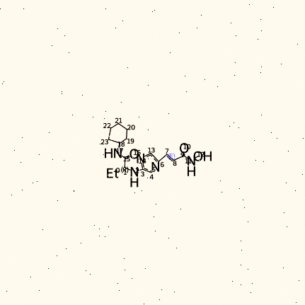 CC[C@@H](Nc1cnc(/C=C/C(=O)NO)cn1)C(=O)NC1CCCCC1